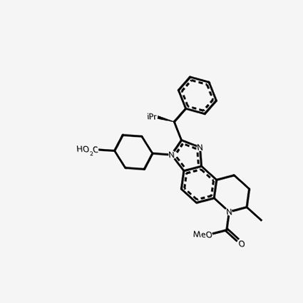 COC(=O)N1c2ccc3c(nc([C@H](c4ccccc4)C(C)C)n3C3CCC(C(=O)O)CC3)c2CCC1C